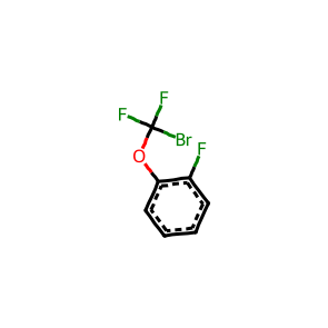 Fc1ccccc1OC(F)(F)Br